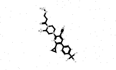 COCCC(=O)N1CCN(c2nc(C3CC3)c(-c3ccc(C(F)(F)F)cc3)cc2C#N)CC1C